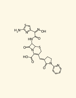 Nc1nc(/C(=N/O)C(=O)NC2C(=O)N3C(C(=O)O)=C(C=C4CCN(c5ccccn5)C4=O)CSC23)cs1